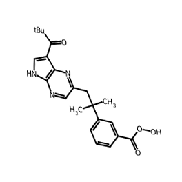 CC(C)(C)C(=O)c1c[nH]c2ncc(CC(C)(C)c3cccc(C(=O)OO)c3)nc12